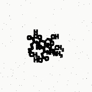 CSCC[C@H](NC(=O)[C@H](CC(=O)O)NC(=O)[C@H](CC(=O)O)NC(=O)[C@H](C)N)C(=O)O